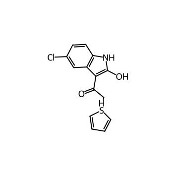 O=C(C[SH]1C=CC=C1)c1c(O)[nH]c2ccc(Cl)cc12